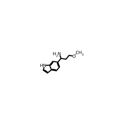 COCCC(N)c1ccc2cc[nH]c2c1